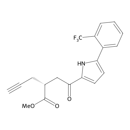 C#CC[C@H](CC(=O)c1ccc(-c2ccccc2C(F)(F)F)[nH]1)C(=O)OC